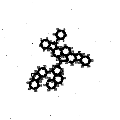 c1ccc(-n2c3ccccc3c3cc4c5c(ccc6c7sc8ccccc8c7cc(c65)n4-c4nc(-c5ccc6oc7ccccc7c6c5)c5c(ccc6ccccc65)n4)c32)cc1